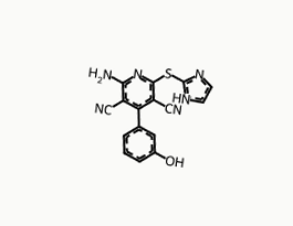 N#Cc1c(N)nc(Sc2ncc[nH]2)c(C#N)c1-c1cccc(O)c1